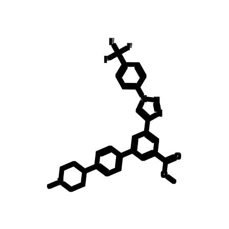 COC(=O)c1cc(-c2ccc(C3CCN(C)CC3)cc2)cc(-c2cn(-c3ccc(C(F)(F)F)cc3)nn2)c1